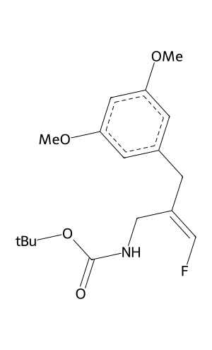 COc1cc(CC(=CF)CNC(=O)OC(C)(C)C)cc(OC)c1